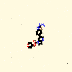 Nc1nc2ccc(-c3cnc4c(c3)N(C(=O)OC3CCOCC3)CC4)cc2s1